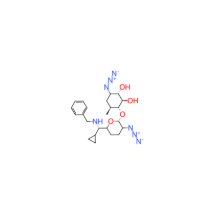 C[C@H]1CC(N=[N+]=[N-])[C@H](O)[C@@H](O)[C@@H]1O[C@H]1OC([C@@H](NCc2ccccc2)C2CC2)CCC1N=[N+]=[N-]